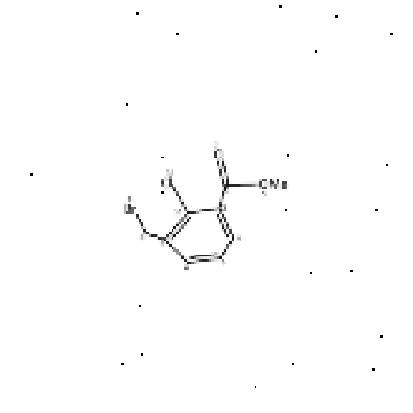 COC(=O)c1cccc(CBr)c1Cl